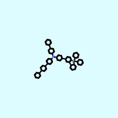 c1ccc(-c2ccc(-c3ccc(N(c4ccc(-c5ccccc5)cc4)c4ccc(-c5ccc6c(c5)-c5ccccc5[Si]6(c5ccccc5)c5ccccc5)cc4)cc3)cc2)cc1